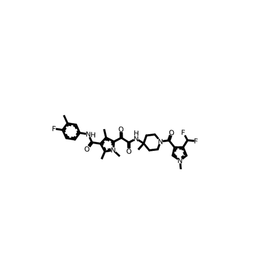 Cc1cc(NC(=O)c2c(C)c(C(=O)C(=O)NC3(C)CCN(C(=O)c4cn(C)cc4C(F)F)CC3)n(C)c2C)ccc1F